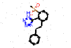 CS(=O)(=O)c1cccc(CCc2ccccc2)c1-c1nnn[nH]1